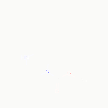 CC(C)(C)OC(=O)N1CCNC(c2ccccc2)C1c1ccccc1